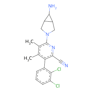 Cc1c(N2CC3C(N)C3C2)nc(C#N)c(-c2cccc(Cl)c2Cl)c1C